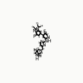 Cc1nc2c(F)cc(-c3cc(Nc4nccc(CN5C[C@@H]6CN[C@@H]6C5)n4)ncc3F)cc2n1C(C)C